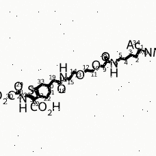 CN[C@@H](CCCCNC(=O)COCCOCCNC(=O)CC1CCc2c(sc(NC(=O)C(=O)O)c2C(=O)O)C1)C(C)=O